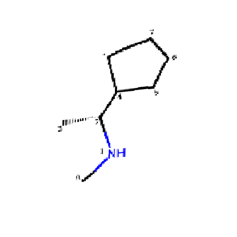 CN[C@H](C)C1CCCC1